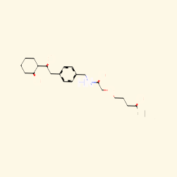 CC(=O)CCCOCC(=O)NCc1ccc(CC(=O)C2CCCCC2=O)cc1